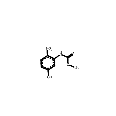 CC(C)(C)OC(=O)Nc1cc(O)ccc1[N+](=O)[O-]